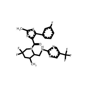 Cc1nc(C(=O)N2CC(F)(F)CC(C)C2CNc2ncc(C(F)(F)F)cn2)c(-c2cccc(F)c2)s1